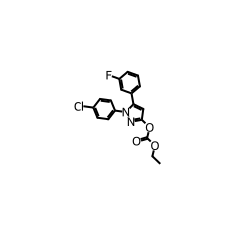 CCOC(=O)Oc1cc(-c2cccc(F)c2)n(-c2ccc(Cl)cc2)n1